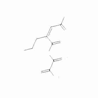 C=C(C)C(=O)OC(=O)/C(=C\C(=O)O)CCO